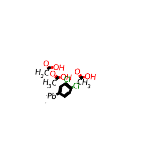 CC(=O)O.CC(=O)O.CC(=O)O.Clc1cc[c]([Pb])cc1Cl